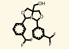 OCC12COC(c3cccc(C(F)F)c3)N1C(c1cccc(C(F)F)c1)OC2